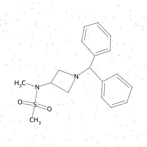 CN(C1CN(C(c2ccccc2)c2ccccc2)C1)S(C)(=O)=O